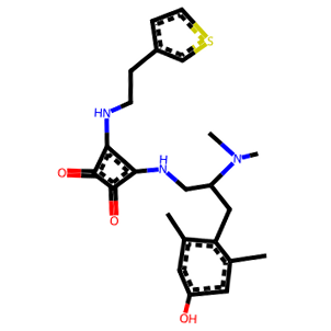 Cc1cc(O)cc(C)c1CC(CNc1c(NCCc2ccsc2)c(=O)c1=O)N(C)C